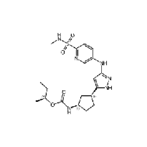 CC[C@H](C)OC(=O)N[C@@H]1CC[C@H](c2cc(Nc3ccc(S(=O)(=O)NC)nc3)n[nH]2)C1